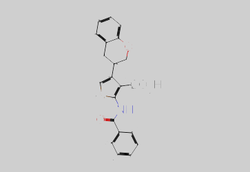 O=C(Nc1scc(C2COc3ccccc3C2)c1C(=O)O)c1ccccc1